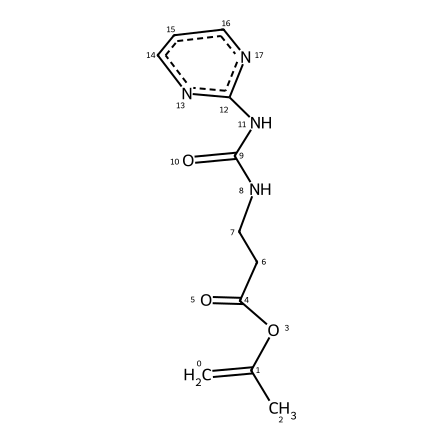 C=C(C)OC(=O)CCNC(=O)Nc1ncccn1